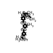 C=CC(=O)OC(C)(C)CC(C)(C)Oc1ccc(C(=O)Oc2ccc(OC(=O)c3ccc(OC(C)(C)CCC)cc3)cc2C)cc1